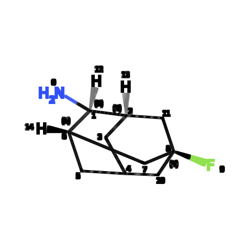 N[C@H]1[C@@H]2CC3C[C@H]1C[C@@](F)(C3)C2